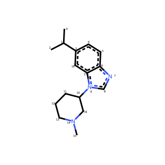 CC(C)c1ccc2ncn(C3CCCN(C)C3)c2c1